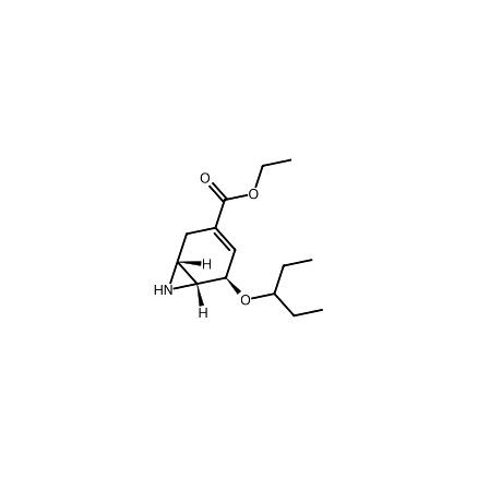 CCOC(=O)C1=C[C@@H](OC(CC)CC)[C@@H]2N[C@@H]2C1